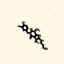 CN1C(=O)N(Cc2ccc(F)c(F)c2)C(=O)C2C1NC(NCCCO)N2C